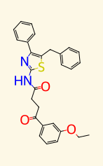 CCOc1cccc(C(=O)CCC(=O)Nc2nc(-c3ccccc3)c(Cc3ccccc3)s2)c1